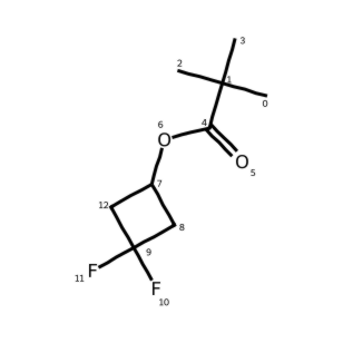 CC(C)(C)C(=O)OC1CC(F)(F)C1